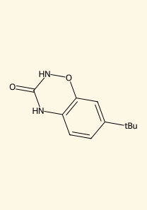 CC(C)(C)c1ccc2c(c1)ONC(=O)N2